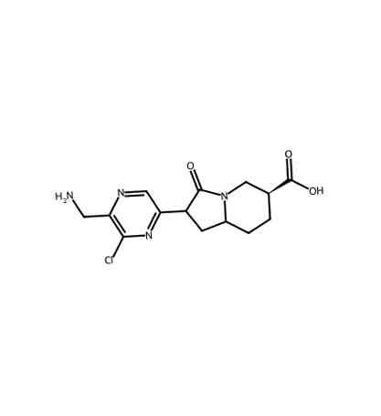 NCc1ncc(C2CC3CC[C@H](C(=O)O)CN3C2=O)nc1Cl